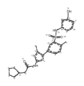 Cc1ccc(-c2sc(NC(=O)CC3CCCC3)nc2C)cc1S(=O)(=O)Nc1cccc(O)c1